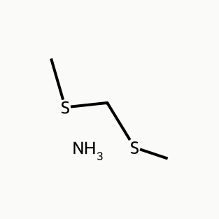 CSCSC.N